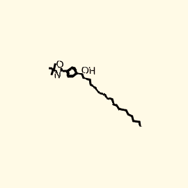 CCCCCCCCCCCCCCCCCC(O)c1ccc(C2=NC(C)(C)CO2)cc1